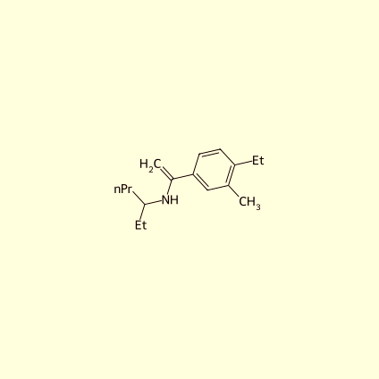 C=C(NC(CC)CCC)c1ccc(CC)c(C)c1